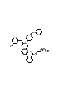 CC(c1cccc(-c2ccccc2C(=O)NCCN)c1)N(C(=O)Cc1cccc(Cl)c1)C1CCN(Cc2ccccc2)CC1.Cl.Cl